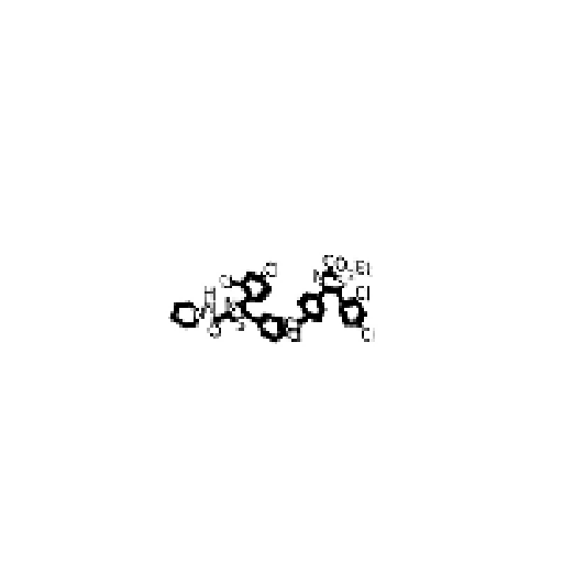 CCOC(=O)c1nc(-c2ccc(Cl)cc2)c(-c2ccc(Cl)cc2Cl)s1.O=C(NN1CCCCC1)c1nc(-c2ccc(Cl)cc2Cl)c(-c2ccc(Cl)cc2)s1